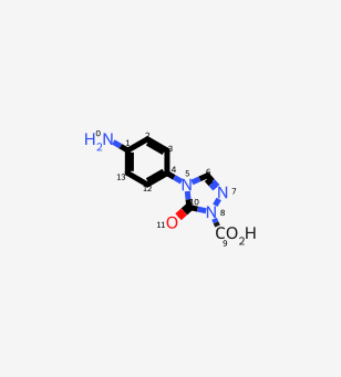 Nc1ccc(-n2cnn(C(=O)O)c2=O)cc1